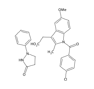 COc1ccc2c(c1)c(CC(=O)O)c(C)n2C(=O)c1ccc(Cl)cc1.O=C1CCN(c2ccccc2)N1